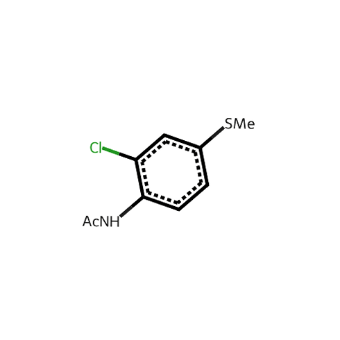 CSc1ccc(NC(C)=O)c(Cl)c1